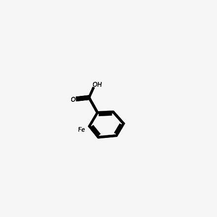 O=C(O)c1ccccc1.[Fe]